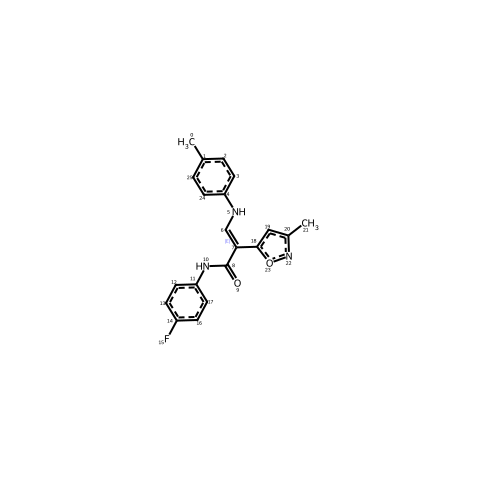 Cc1ccc(N/C=C(/C(=O)Nc2ccc(F)cc2)c2cc(C)no2)cc1